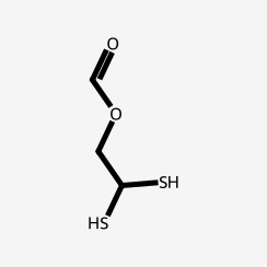 O=COCC(S)S